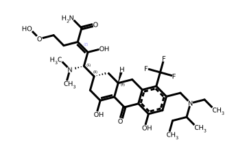 CCC(C)N(CC)Cc1cc(O)c2c(c1C(F)(F)F)C[C@H]1C[C@@H]([C@@H](/C(O)=C(\CCOO)C(N)=O)N(C)C)CC(O)=C1C2=O